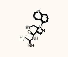 CC(C)Cc1c(C(=O)NC(=N)N)cnn1-c1cccc2ncccc12